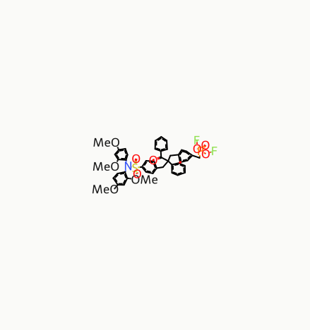 COc1ccc(N(c2ccc(OC)cc2OC)S(=O)(=O)c2ccc(CC(Cc3ccc(CP(=O)(OF)OF)cc3)(C(=O)c3ccccc3)c3ccccc3)cc2)c(OC)c1